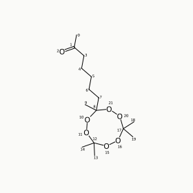 CC(=O)CCCCCC1(C)OOC(C)(C)OOC(C)(C)OO1